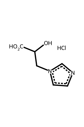 Cl.O=C(O)C(O)Cn1ccnc1